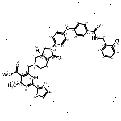 COC(=O)C1=C(CN2CCN3C(=O)N(c4ccc(Oc5ccc(C(=O)NCc6ccccc6Cl)cc5)cc4)C[C@@H]3C2)NC(c2nccs2)=N[C@H]1C